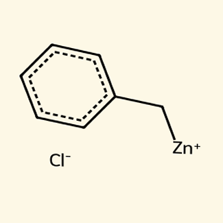 [Cl-].[Zn+][CH2]c1ccccc1